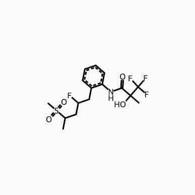 CC(CC(F)Cc1ccccc1NC(=O)C(C)(O)C(F)(F)F)S(C)(=O)=O